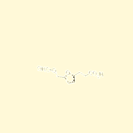 O=COCc1ccc(CCC(=O)O)o1